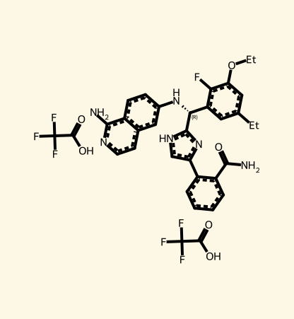 CCOc1cc(CC)cc([C@@H](Nc2ccc3c(N)nccc3c2)c2nc(-c3ccccc3C(N)=O)c[nH]2)c1F.O=C(O)C(F)(F)F.O=C(O)C(F)(F)F